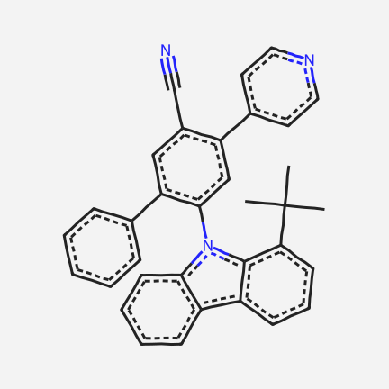 CC(C)(C)c1cccc2c3ccccc3n(-c3cc(-c4ccncc4)c(C#N)cc3-c3ccccc3)c12